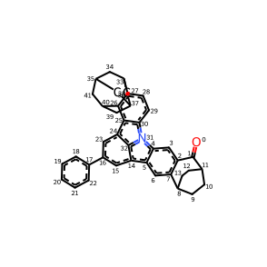 O=C1c2cc3c(cc2C2CCC1CC2)c1cc(-c2ccccc2)cc2c4c5c(ccc4n3c12)C1CC2CC(C1)CC5C2